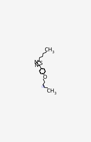 CC/C=C\CCOc1ccc(-c2nnc(CCCCC)s2)cc1